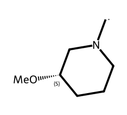 [CH2]N1CCC[C@H](OC)C1